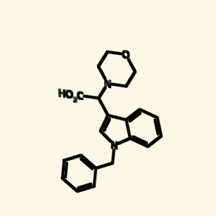 O=C(O)C(c1cn(Cc2ccccc2)c2ccccc12)N1CCOCC1